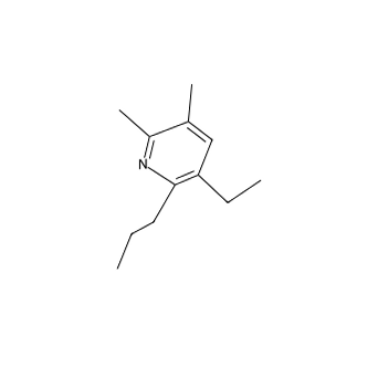 CCCc1nc(C)c(C)cc1CC